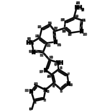 Cc1cn(-c2cncc3[nH]c(-c4n[nH]c5ccc(-c6cncc(N)c6)nc45)nc23)cn1